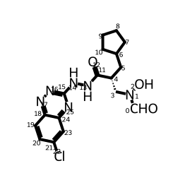 O=CN(O)C[C@@H](CC1CCCC1)C(=O)NNc1nnc2ccc(Cl)cc2n1